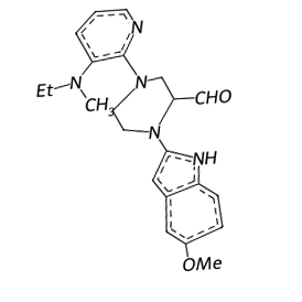 CCN(C)c1cccnc1N1CCN(c2cc3cc(OC)ccc3[nH]2)C(C=O)C1